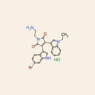 CCn1cc(C2=C(c3c[nH]c4cc(Br)ccc34)C(=O)N(CCN)C2=O)c2ccccc21.Cl